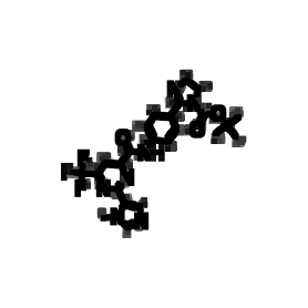 Cn1cncc1-c1nc(C(=O)Nc2ccc(C3=NCCN3C(=O)OC(C)(C)C)cc2)cc(C(F)(F)F)n1